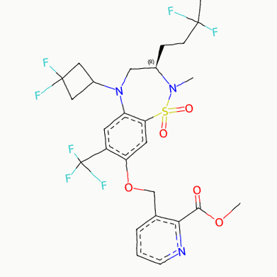 COC(=O)c1ncccc1COc1cc2c(cc1C(F)(F)F)N(C1CC(F)(F)C1)C[C@@H](CCC(C)(F)F)N(C)S2(=O)=O